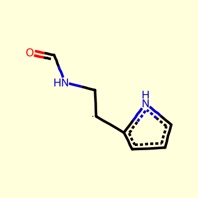 O=CNC[CH]c1ccc[nH]1